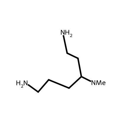 CNC(CCN)CCCN